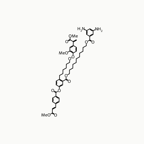 C=C(C(=O)OC)c1ccc(OOCCCCCCc2ccc(OC(=O)c3ccc(C=CC(=O)OC)cc3)cc2C(=O)OCCCCCCCCCCCOC(=O)c2cc(N)cc(N)c2)c(OC)c1